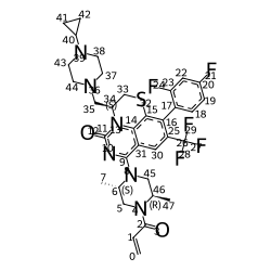 C=CC(=O)N1C[C@H](C)N(c2nc(=O)n3c4c(c(-c5ccc(F)cc5F)c(C(F)(F)F)cc24)SC[C@@H]3CN2CCN(C3CC3)CC2)C[C@H]1C